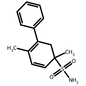 CC1=C(c2ccccc2)CC(C)(S(N)(=O)=O)C=C1